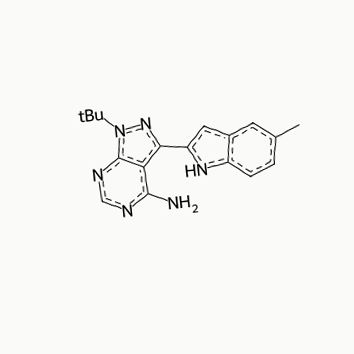 Cc1ccc2[nH]c(-c3nn(C(C)(C)C)c4ncnc(N)c34)cc2c1